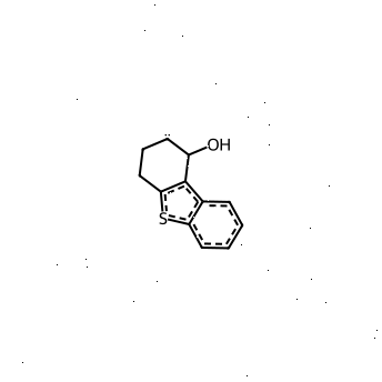 OC1[C]CCc2sc3ccccc3c21